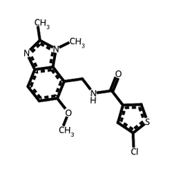 COc1ccc2nc(C)n(C)c2c1CNC(=O)c1csc(Cl)c1